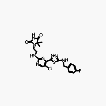 CC1(C)C(=O)NC(=O)N1CCNc1ncc(Cl)c(-c2nnc(NCc3ccc(F)cc3)s2)n1